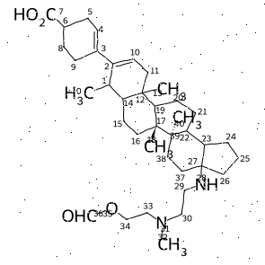 CC1C(C2=CCC(C(=O)O)CC2)=CCC2(C)C1CC[C@]1(C)C2CCC2C3CCCC3(NCCN(C)CCOC=O)CC[C@]21C